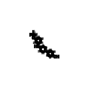 Oc1ccc(N2CCC(Nc3cccc(OC(F)(F)F)c3)CC2)cc1